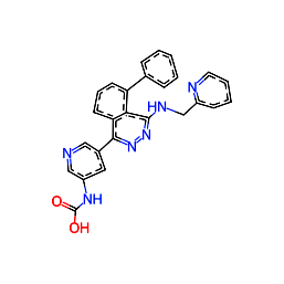 O=C(O)Nc1cncc(-c2nnc(NCc3ccccn3)c3c(-c4ccccc4)cccc23)c1